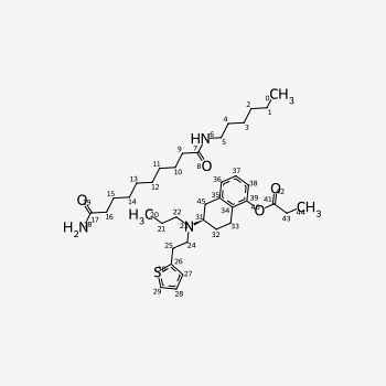 CCCCCCNC(=O)CCCCCCCCC(N)=O.CCCN(CCc1cccs1)[C@@H]1CCc2c(cccc2OC(=O)CC)C1